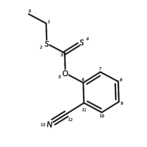 CCSC(=S)Oc1ccccc1C#N